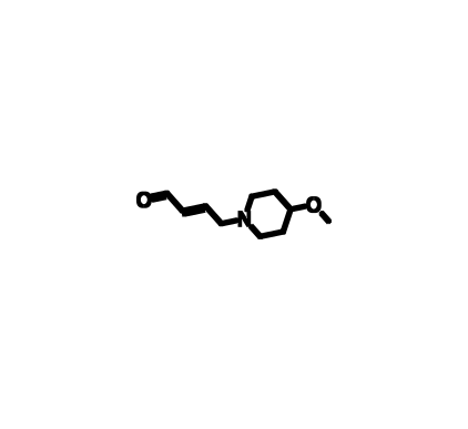 COC1CCN(CC=CC=O)CC1